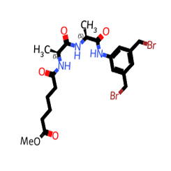 COC(=O)CCCCC(=O)N[C@@H](C)C(=O)N[C@@H](C)C(=O)Nc1cc(CBr)cc(CBr)c1